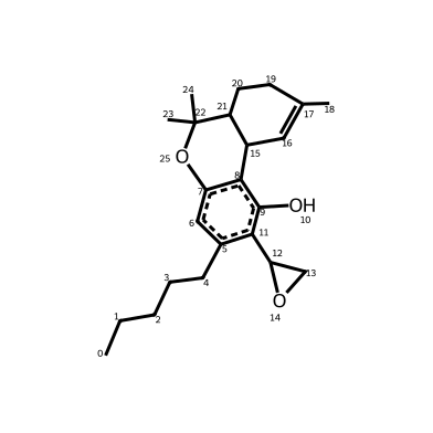 CCCCCc1cc2c(c(O)c1C1CO1)C1C=C(C)CCC1C(C)(C)O2